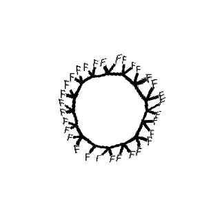 F[C]1C(F)(F)C(F)(F)C(F)(F)C(F)(F)C(F)(F)C(F)(F)C(F)(F)C(F)(F)C(F)(F)C(F)(F)C(F)(F)C(F)(F)C(F)(F)C(F)(F)C1(F)F